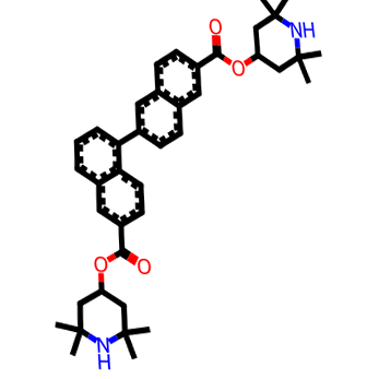 CC1(C)CC(OC(=O)c2ccc3cc(-c4cccc5cc(C(=O)OC6CC(C)(C)NC(C)(C)C6)ccc45)ccc3c2)CC(C)(C)N1